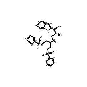 CCC[C@H](NC(=O)C(CCS(=O)(=O)c1ccccc1)CCS(=O)(=O)c1ccccc1)C(=O)c1nc2ccccc2o1